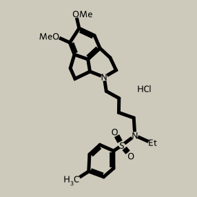 CCN(CCCCN1CCc2cc(OC)c(OC)c3c2C1CC3)S(=O)(=O)c1ccc(C)cc1.Cl